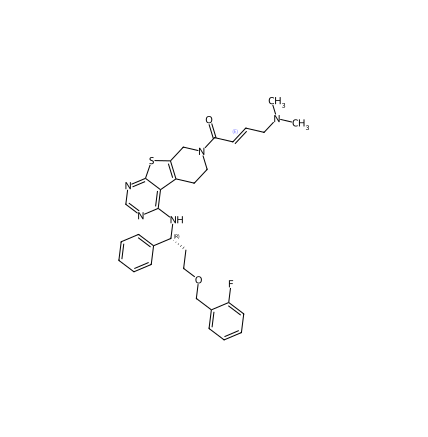 CN(C)C/C=C/C(=O)N1CCc2c(sc3ncnc(N[C@H](CCOCc4ccccc4F)c4ccccc4)c23)C1